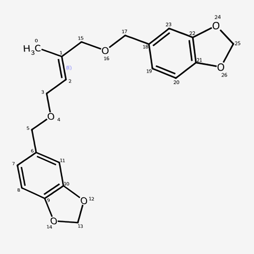 C/C(=C\COCc1ccc2c(c1)OCO2)COCc1ccc2c(c1)OCO2